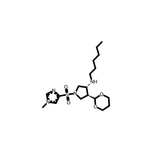 CCCCCCN[C@H]1CN(S(=O)(=O)c2cn(C)cn2)C[C@@H]1C1OCCCO1